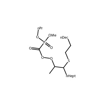 CCCCCCCCCCCCSC(CCCCCCC)C(C)OOC(=O)P(=O)(OC)OCCC